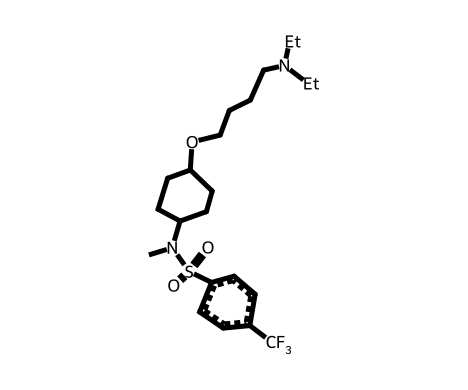 CCN(CC)CCCCOC1CCC(N(C)S(=O)(=O)c2ccc(C(F)(F)F)cc2)CC1